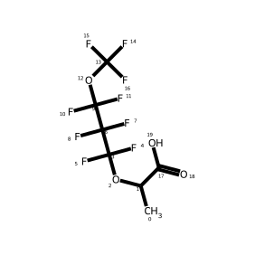 CC(OC(F)(F)C(F)(F)C(F)(F)OC(F)(F)F)C(=O)O